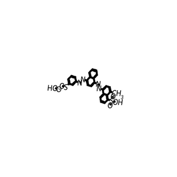 Cc1ccc(N=Nc2ccc(N=Nc3cccc(SOOO)c3)c3ccccc23)c2cccc(S(=O)(=O)O)c12